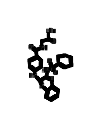 [CH2]CCCC(=O)CNC(=O)c1ccc(Nc2nc3ccccc3nc2NS(=O)(=O)c2ccccc2)cc1